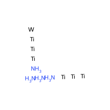 N.N.N.N.[Ti].[Ti].[Ti].[Ti].[Ti].[Ti].[W]